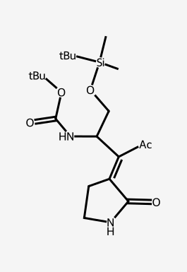 CC(=O)C(=C1CCNC1=O)C(CO[Si](C)(C)C(C)(C)C)NC(=O)OC(C)(C)C